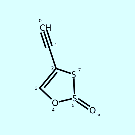 C#CC1=COS(=O)S1